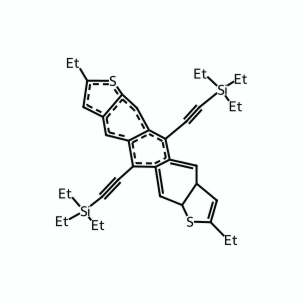 CCC1=CC2C=c3c(C#C[Si](CC)(CC)CC)c4cc5sc(CC)cc5cc4c(C#C[Si](CC)(CC)CC)c3=CC2S1